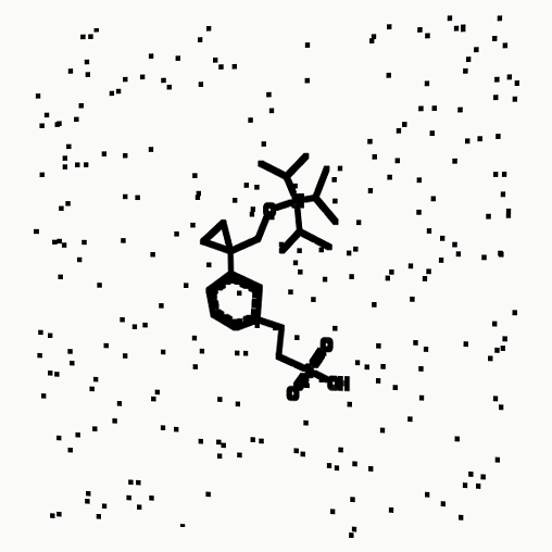 CC(C)[Si](OCC1(c2cccc(CCS(=O)(=O)O)c2)CC1)(C(C)C)C(C)C